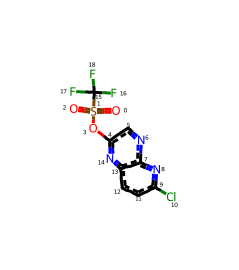 O=S(=O)(Oc1cnc2nc(Cl)ccc2n1)C(F)(F)F